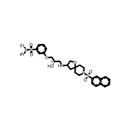 CCN(C(C)C)S(=O)(=O)c1cccc(OC[C@@H](O)CNC2COC3(CCN(S(=O)(=O)c4ccc5ccccc5c4)CC3)C2)c1